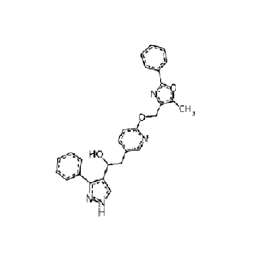 Cc1oc(-c2ccccc2)nc1COc1ccc(CC(O)c2c[nH]nc2-c2ccccc2)cn1